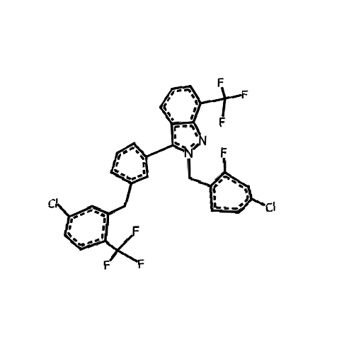 Fc1cc(Cl)ccc1Cn1nc2c(C(F)(F)F)cccc2c1-c1cccc(Cc2cc(Cl)ccc2C(F)(F)F)c1